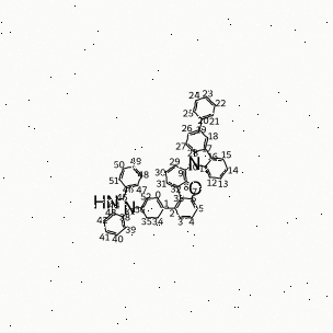 C1=C(c2cccc3oc4c(-n5c6ccccc6c6cc(-c7ccccc7)ccc65)cccc4c23)CCC(N2c3ccccc3NC2c2ccccc2)=C1